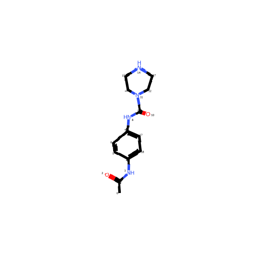 CC(=O)Nc1ccc(NC(=O)N2CCNCC2)cc1